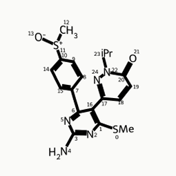 CSc1nc(N)nc(-c2ccc([S+](C)[O-])cc2)c1-c1ccc(=O)n(C(C)C)n1